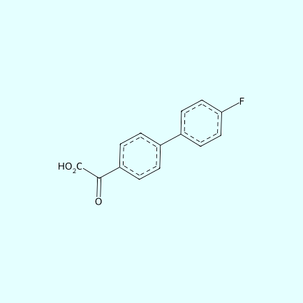 O=C(O)C(=O)c1ccc(-c2ccc(F)cc2)cc1